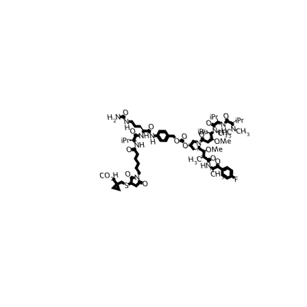 CC[C@H](C)C([C@@H](CC(=O)N1C[C@@H](OC(=O)OCc2ccc(NC(=O)[C@H](CCCNC(N)=O)NC(=O)[C@@H](NC(=O)CCCCCN3C(=O)CC(SCC4(CC(=O)O)CC4)C3=O)C(C)C)cc2)C[C@H]1[C@H](OC)[C@@H](C)C(=O)N[C@@H](C)C(=O)c1ccc(F)cc1)OC)N(C)C(=O)[C@@H](NC(=O)[C@H](C(C)C)N(C)C)C(C)C